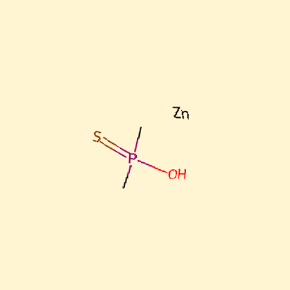 CP(C)(O)=S.[Zn]